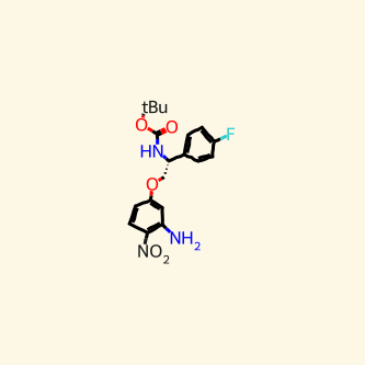 CC(C)(C)OC(=O)N[C@@H](COc1ccc([N+](=O)[O-])c(N)c1)c1ccc(F)cc1